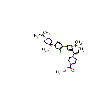 C=Nn1cc(-c2ccc(C3(OC)CCN(C(C)C)CC3)cc2F)cc1/C(=C\C)N1CCN(C(=O)OCC)CC1